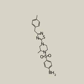 Bc1ccc(S(=O)(=O)N2CCN(c3nc(Cc4ccc(C)cc4)ns3)CC2C)cc1